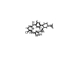 Cc1cc(C2CCN(C3CC3)CC2)c(C)cc1Nc1ncc(Cl)c(Nc2cc(C3CC3)[nH]n2)n1